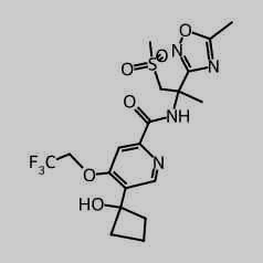 Cc1nc(C(C)(CS(C)(=O)=O)NC(=O)c2cc(OCC(F)(F)F)c(C3(O)CCC3)cn2)no1